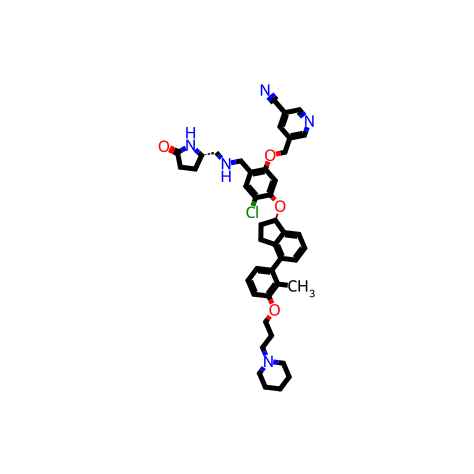 Cc1c(OCCCN2CCCCC2)cccc1-c1cccc2c1CC[C@@H]2Oc1cc(OCc2cncc(C#N)c2)c(CNC[C@@H]2CCC(=O)N2)cc1Cl